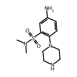 CN(C)S(=O)(=O)c1cc(N)ccc1N1CCNCC1